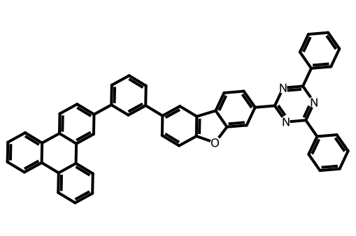 c1ccc(-c2nc(-c3ccccc3)nc(-c3ccc4c(c3)oc3ccc(-c5cccc(-c6ccc7c8ccccc8c8ccccc8c7c6)c5)cc34)n2)cc1